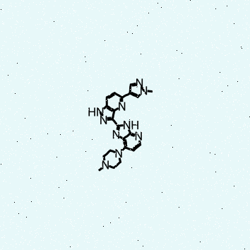 CN1CCN(c2ccnc3[nH]c(-c4n[nH]c5ccc(-c6cnn(C)c6)nc45)nc23)CC1